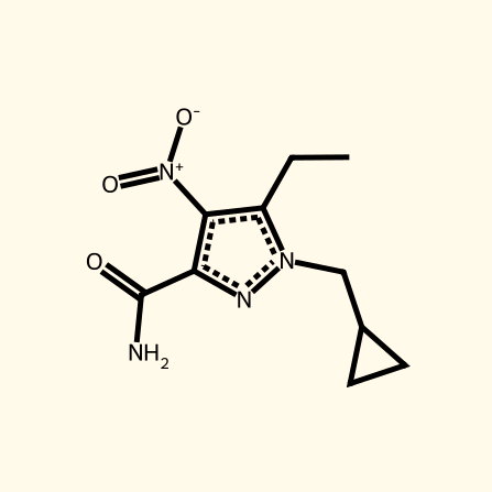 CCc1c([N+](=O)[O-])c(C(N)=O)nn1CC1CC1